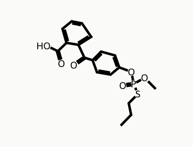 CCCSP(=O)(OC)Oc1ccc(C(=O)c2ccccc2C(=O)O)cc1